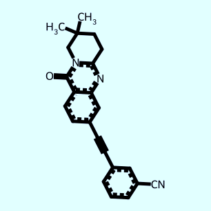 CC1(C)CCc2nc3cc(C#Cc4cccc(C#N)c4)ccc3c(=O)n2C1